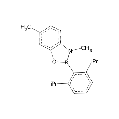 Cc1ccc2c(c1)OB(c1c(C(C)C)cccc1C(C)C)N2C